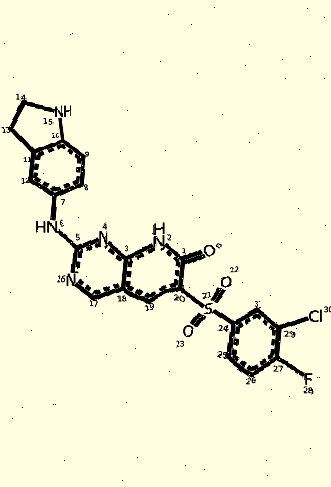 O=c1[nH]c2nc(Nc3ccc4c(c3)CCN4)ncc2cc1S(=O)(=O)c1ccc(F)c(Cl)c1